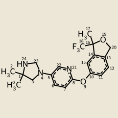 CC1(C)CN(c2ccc(Oc3ccc4c(c3)C(C)(C(F)(F)F)OC4)nc2)CN1